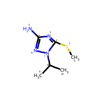 CSc1nc(N)nn1C(C)C